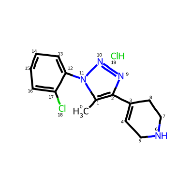 Cc1c(C2=CCNCC2)nnn1-c1ccccc1Cl.Cl